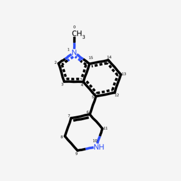 Cn1ccc2c(C3=CCCNC3)cccc21